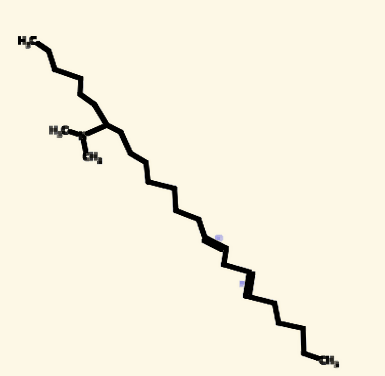 CCCCC/C=C/C/C=C/CCCCCCCC(CCCCCC)N(C)C